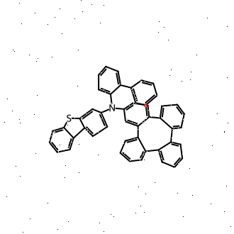 c1ccc(-c2ccccc2N(c2ccc3c(c2)-c2ccccc2-c2ccccc2-c2ccccc2-3)c2ccc3c(c2)sc2ccccc23)cc1